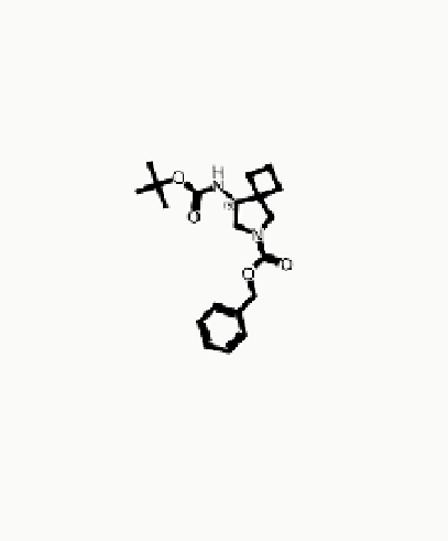 CC(C)(C)OC(=O)N[C@@H]1CN(C(=O)OCc2ccccc2)CC12CCC2